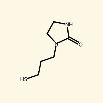 O=C1NCCN1CCCS